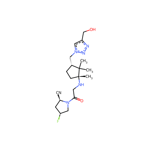 CC1(C)[C@@H](Cn2cc(CO)nn2)CC[C@@]1(C)NCC(=O)N1C[C@@H](F)C[C@H]1C#N